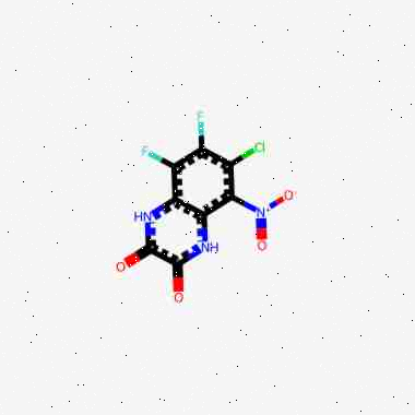 O=c1[nH]c2c(F)c(F)c(Cl)c([N+](=O)[O-])c2[nH]c1=O